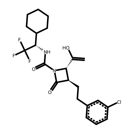 C=C(O)[C@@H]1[C@@H](CCc2cccc(Cl)c2)C(=O)N1C(=O)N[C@@H](C1CCCCC1)C(F)(F)F